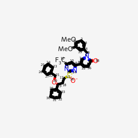 COc1ccc(Cn2cc(-c3cc(C(F)(F)F)nc([S+]([O-])CCC(OCc4ccccc4)c4ccccc4)n3)ccc2=O)cc1OC